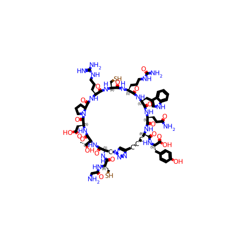 C[C@@H](O)[C@@H]1NC(=O)[C@@H](NC(=O)[C@H](CS)NC(=O)CN)Cn2cc(nn2)CCC[C@H](C(=O)N[C@@H](Cc2ccc(O)cc2)C(=O)O)NC(=O)[C@H](CCC(N)=O)NC(=O)[C@H](Cc2c[nH]c3ccccc23)NC(=O)[C@H](CCCNC(N)=O)NC(=O)[C@H](CS)NC(=O)[C@H](CCCNC(=N)N)NC(=O)C2CCCN2C(=O)[C@H](CC(=O)O)NC1=O